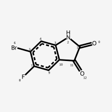 O=C1Nc2cc(Br)c(F)cc2C1=O